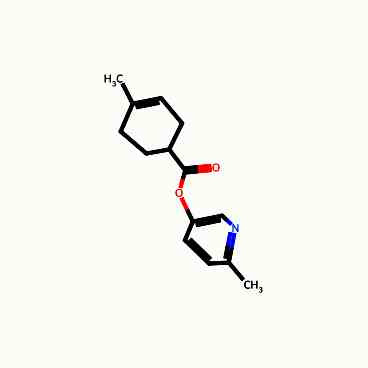 CC1=CCC(C(=O)Oc2ccc(C)nc2)CC1